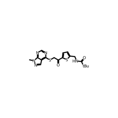 Cn1ncc2c(SCC(=O)c3ccc(CNC(=O)C(C)(C)C)s3)ncnc21